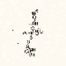 COC(=O)c1cccc(C(c2ccc(C(=O)NCCc3ccc(N=C=S)cc3)cc2)N(CCO)CCOCCOCCN(CCO)Cc2cccc(C(=O)O)n2)n1